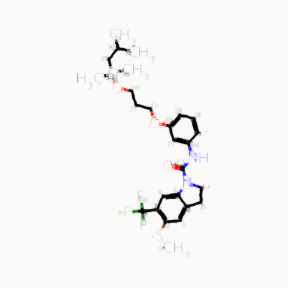 CSc1cc2c(cc1C(F)(F)F)N(C(=O)Nc1cccc(OCCCO[Si](C)(C)CC(C)C)c1)CC2